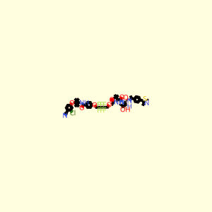 Cc1ncsc1-c1ccc(C(C)NC(=O)[C@@H]2C[C@@H](O)CN2C(=O)[C@@H](NC(=O)COCC(F)(F)C(F)(F)C(F)(F)COc2ccc(C(=O)N[C@H]3C(C)(C)[C@H](Oc4ccc(C#N)c(Cl)c4)C3(C)C)cc2)C(C)(C)C)cc1